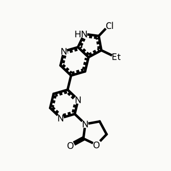 CCc1c(Cl)[nH]c2ncc(-c3ccnc(N4CCOC4=O)n3)cc12